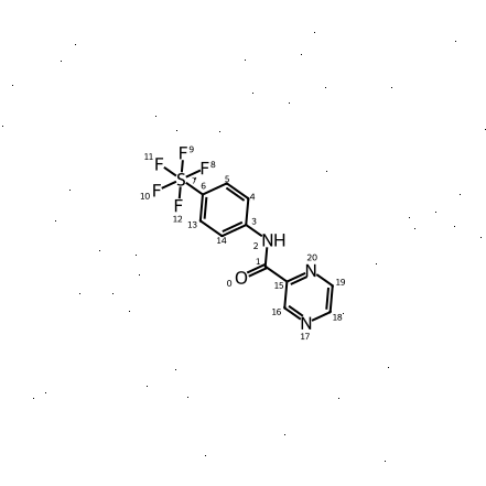 O=C(Nc1ccc(S(F)(F)(F)(F)F)cc1)c1cnccn1